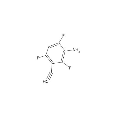 C#Cc1c(F)cc(F)c(N)c1F